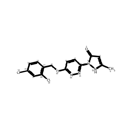 Cc1cc(=O)n(-c2ccc(OCc3ccc(Cl)cc3Cl)nn2)[nH]1